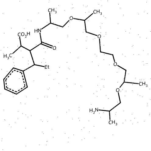 CCC(c1ccccc1)C(C(=O)NC(C)COC(C)COCCOCC(C)OCC(C)N)C(C)C(=O)O